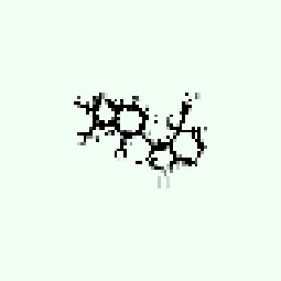 [2H]C1(C#N)N=CN=C2NNC(c3ccc4nn(C)c(Cl)c4c3Cl)=C21